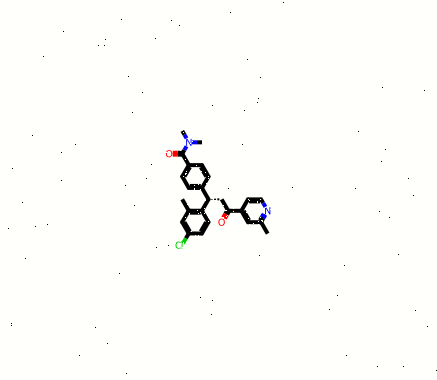 Cc1cc(C(=O)C[C@@H](c2ccc(C(=O)N(C)C)cc2)c2ccc(Cl)cc2C)ccn1